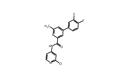 Cc1cc(-c2ccc(F)c(F)c2)cc(C(=O)Nc2ccnc(Cl)c2)n1